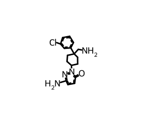 NCC1(c2cccc(Cl)c2)CCC(n2nc(N)ccc2=O)CC1